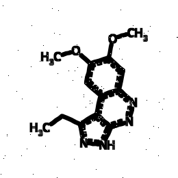 CCc1n[nH]c2nnc3cc(OC)c(OC)cc3c12